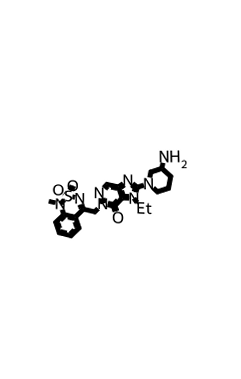 CCn1c(N2CCCC(N)C2)nc2cnn(CC3=NS(=O)(=O)N(C)c4ccccc43)c(=O)c21